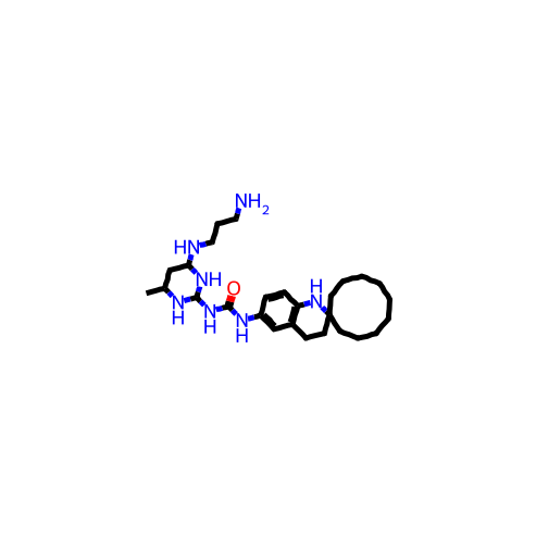 CC1CC(NCCCN)NC(NC(=O)Nc2ccc3c(c2)CCC2(CCCCCCCCC2)N3)N1